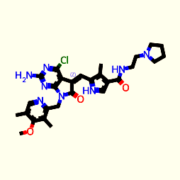 COc1c(C)cnc(CN2C(=O)/C(=C\c3[nH]cc(C(=O)NCCN4CCCC4)c3C)c3c(Cl)nc(N)nc32)c1C